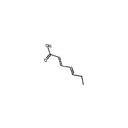 CCC=C/C=C/C(=O)O